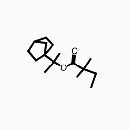 CCC(C)(C)C(=O)OC(C)(C)C12CCC(CC1)C2